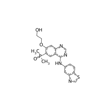 CP(C)(=O)c1cc2c(Nc3ccc4scnc4c3)ncnc2cc1OCCO